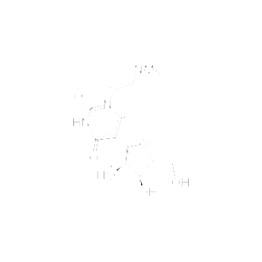 CNCCn1cc([C@@H]2O[C@H](CO)[C@@H](O)[C@H]2O)c(=O)[nH]c1=O